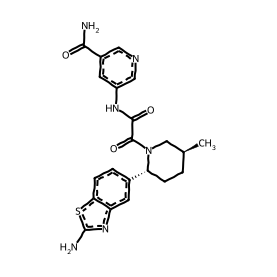 C[C@H]1CC[C@H](c2ccc3sc(N)nc3c2)N(C(=O)C(=O)Nc2cncc(C(N)=O)c2)C1